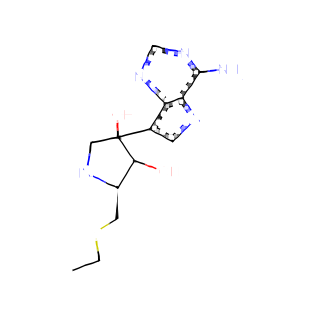 CCSC[C@H]1NCC(O)(c2c[nH]c3c(N)ncnc23)C1O